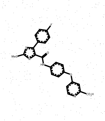 CSc1nc(C(=O)Nc2ccc(Oc3ccnc(C(=O)O)c3)cc2)c(-c2ccc(F)cc2)s1